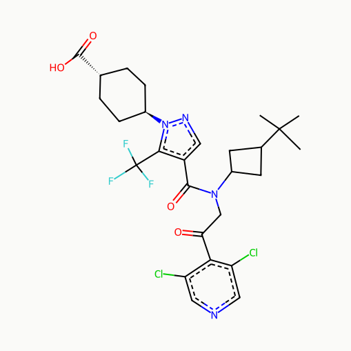 CC(C)(C)C1CC(N(CC(=O)c2c(Cl)cncc2Cl)C(=O)c2cnn([C@H]3CC[C@H](C(=O)O)CC3)c2C(F)(F)F)C1